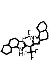 FB(F)[N+]1=C2C(=C/C1=C(/C1=CC3CCC4CCCCC4C3N1)C(F)(F)F)CCC1CCCCC21